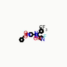 O=C(OCc1ccccc1)N1CCC(c2nc(-c3cccc(C(F)(F)F)c3)c(-c3ccnc(F)c3)n2O)CC1